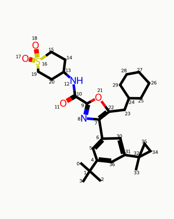 CC(C)(C)c1cc(-c2nc(C(=O)NC3CCS(=O)(=O)CC3)oc2CC2CCCCC2)cc(C2(C)CC2)c1